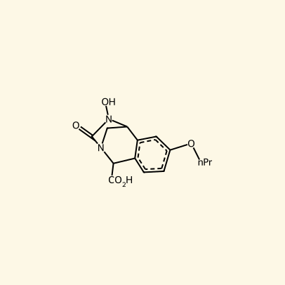 CCCOc1ccc2c(c1)C1CN(C(=O)N1O)C2C(=O)O